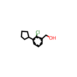 OCc1cccc(C2CCCC2)c1Cl